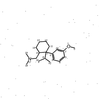 COc1cccc(C2(C(C)C)CCCCC2CN(C)C)c1